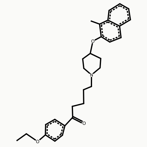 CCOc1ccc(C(=O)CCCCN2CCC(Oc3ccc4ccccc4c3C)CC2)cc1